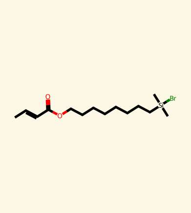 CC=CC(=O)OCCCCCCCC[Si](C)(C)Br